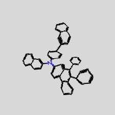 c1ccc(-c2c(-c3ccccc3)c3cc(N(c4ccc(-c5ccc6ccccc6c5)cc4)c4ccc5ccccc5c4)ccc3c3ccccc23)cc1